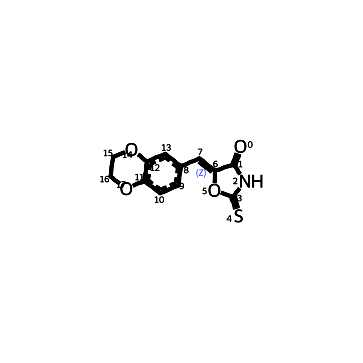 O=C1NC(=S)O/C1=C\c1ccc2c(c1)OCCO2